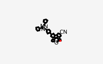 N#Cc1ccc2c(c1)-c1cc(-c3ccc(-c4nc(-c5ccccc5)nc(-c5ccccc5)n4)cc3)ccc1C21c2ccccc2Oc2ccccc21